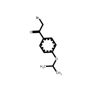 CC(C)Oc1ccc(C(=O)CBr)cc1